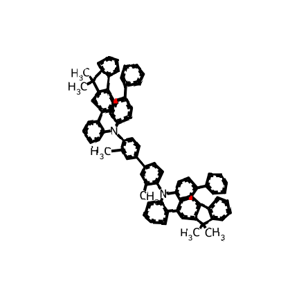 Cc1cc(-c2ccc(N(c3ccc(-c4ccccc4)cc3)c3ccccc3-c3ccc4c(c3)C(C)(C)c3ccccc3-4)c(C)c2)ccc1N(c1ccc(-c2ccccc2)cc1)c1ccccc1-c1ccc2c(c1)C(C)(C)c1ccccc1-2